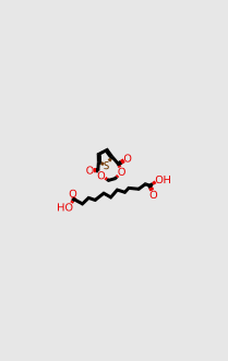 O=C(O)CCCCCCCCCCC(=O)O.O=C1OCCOC(=O)c2ccc1s2